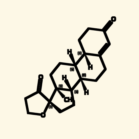 C[C@]12CC[C@H]3[C@@H](CCC4=CC(=O)CC[C@@H]43)[C@@H]1CC[C@]21OCCC1=O